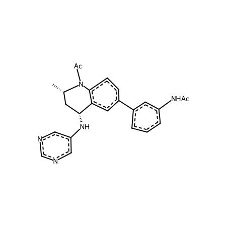 CC(=O)Nc1cccc(-c2ccc3c(c2)[C@H](Nc2cncnc2)C[C@H](C)N3C(C)=O)c1